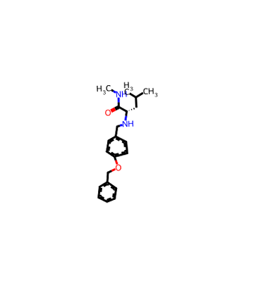 CNC(=O)[C@H](CC(C)C)NCc1ccc(OCc2ccccc2)cc1